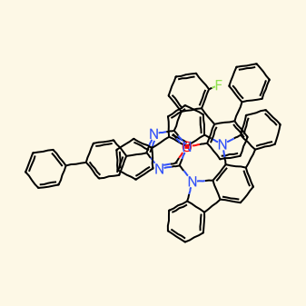 COc1cccc(-c2ccccc2)c1-c1c(F)cccc1-c1nc(-c2ccc(-c3ccccc3)cc2)nc(-n2c3ccccc3c3ccc4c5ccccc5n(-c5cccc(-c6ccccc6)c5)c4c32)n1